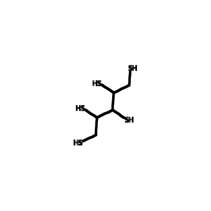 SCC(S)C(S)C(S)CS